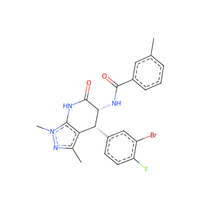 Cc1cccc(C(=O)N[C@H]2C(=O)Nc3c(c(C)nn3C)[C@H]2c2ccc(F)c(Br)c2)c1